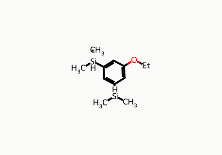 CCOc1cc([SiH](C)C)cc([SiH](C)C)c1